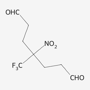 O=CCCC(CCC=O)([N+](=O)[O-])C(F)(F)F